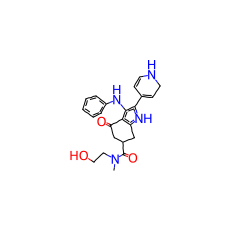 CN(CCO)C(=O)C1CC(=O)c2c([nH]c(C3=CCNC=C3)c2Nc2ccccc2)C1